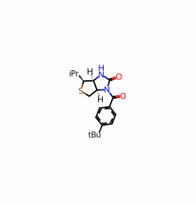 CC(C)[C@@H]1SC[C@H]2[C@@H]1NC(=O)N2C(=O)c1ccc(C(C)(C)C)cc1